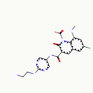 CNc1cc(F)cc2cc(C(=O)Nc3cnc(NCCN)nc3)c(=O)n(C(=O)O)c12